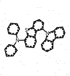 c1ccc(N(c2ccccc2)c2cccc3c2sc2cccc(-n4c5ccccc5c5ccccc54)c23)cc1